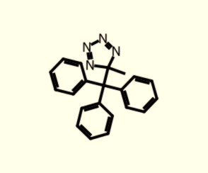 CC1(C(c2ccccc2)(c2ccccc2)c2ccccc2)N=NN=N1